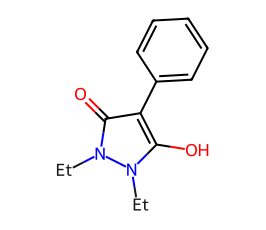 CCn1c(O)c(-c2ccccc2)c(=O)n1CC